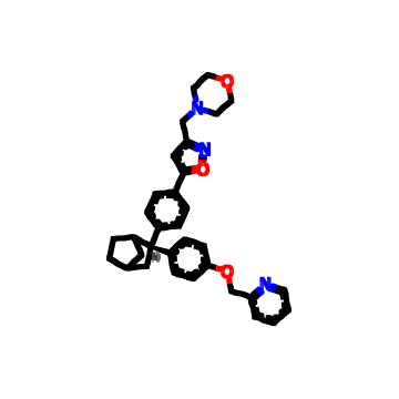 c1ccc(COc2ccc([C@@]3(c4ccc(-c5cc(CN6CCOCC6)no5)cc4)CC4CCC3C4)cc2)nc1